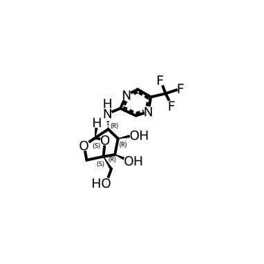 OC[C@@]12CO[C@@H](O1)[C@H](Nc1cnc(C(F)(F)F)cn1)[C@@H](O)[C@H]2O